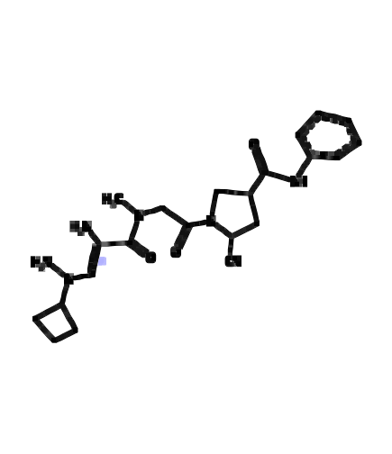 CN(CC(=O)N1CC(C(=O)Nc2ccccc2)CC1C#N)C(=O)/C(N)=C/N(N)C1CCC1